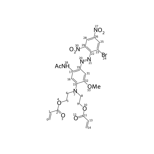 C=CC(=O)OCCN(CCOC(=O)C=C)c1cc(NC(C)=O)c(/N=N/c2c(Br)cc([N+](=O)[O-])cc2[N+](=O)[O-])cc1OC